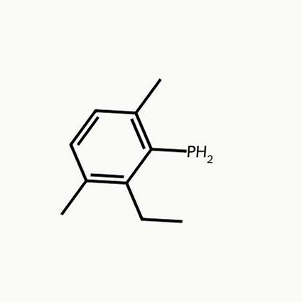 CCc1c(C)ccc(C)c1P